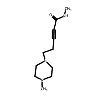 CNC(=O)C#CCCN1CCN(C)CC1